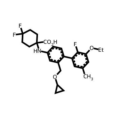 CCOc1cc(C)cc(-c2ccc(NC3(C(=O)O)CCC(F)(F)CC3)cc2COC2CC2)c1F